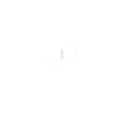 C1=CSSS1.c1ccccc1